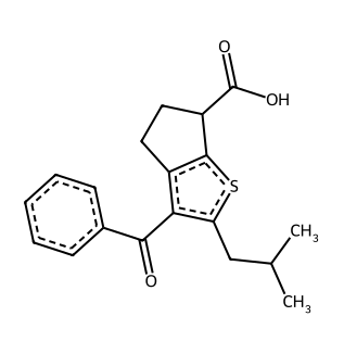 CC(C)Cc1sc2c(c1C(=O)c1ccccc1)CCC2C(=O)O